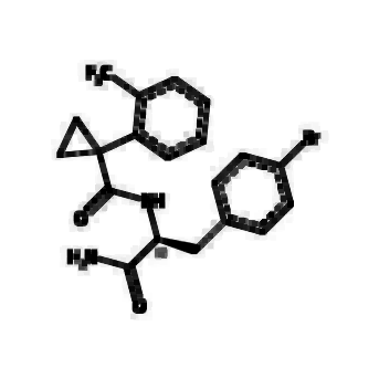 NC(=O)[C@H](Cc1ccc(Br)cc1)NC(=O)C1(c2ccccc2C(F)(F)F)CC1